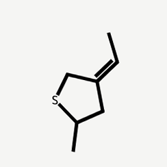 C/C=C1\CSC(C)C1